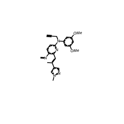 C#CCN(c1cc(OC)cc(OC)c1)c1ccc(N=C)c(/C=C(\C)c2cnn(C)c2)n1